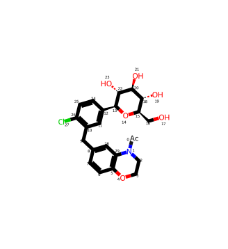 CC(=O)N1CCOc2ccc(Cc3cc([C@@H]4O[C@H](CO)[C@@H](O)[C@H](O)[C@H]4O)ccc3Cl)cc21